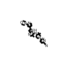 Cc1cnc2cc(-c3ccnc(N4CCOCC4)c3)nn2c1NC1CCN(c2ccc(C#N)nn2)CC1(C)C